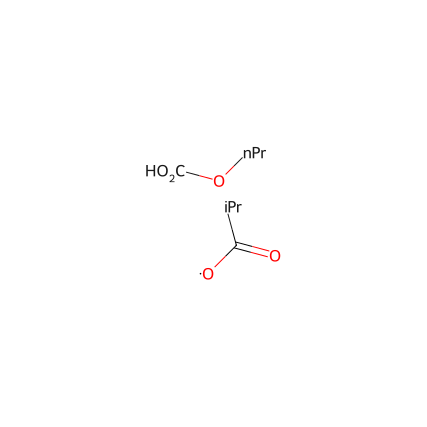 CC(C)C([O])=O.CCCOC(=O)O